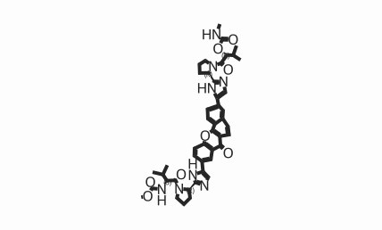 CNC(=O)O[C@@H](C(=O)N1CCC[C@@H]1c1ncc(-c2ccc3c(ccc4c(=O)c5cc(-c6cnc([C@H]7CCCN7C(=O)[C@@H](NC(=O)OC)C(C)C)[nH]6)ccc5oc43)c2)[nH]1)C(C)C